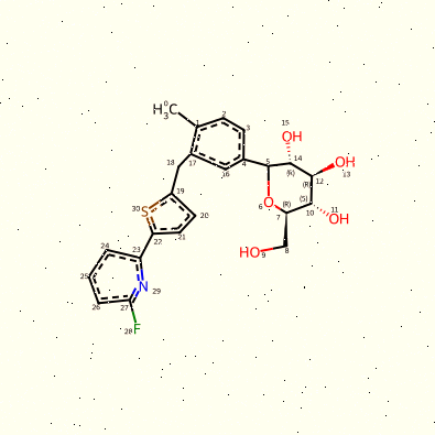 Cc1ccc(C2O[C@H](CO)[C@@H](O)[C@H](O)[C@H]2O)cc1Cc1ccc(-c2cccc(F)n2)s1